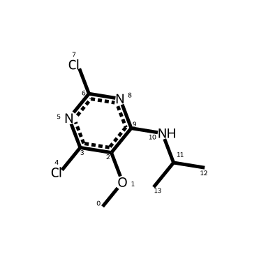 COc1c(Cl)nc(Cl)nc1NC(C)C